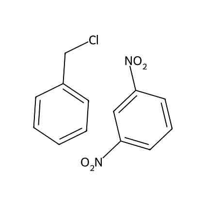 ClCc1ccccc1.O=[N+]([O-])c1cccc([N+](=O)[O-])c1